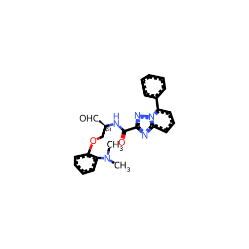 CN(C)c1ccccc1OC[C@@H](C=O)NC(=O)c1nc2cccc(-c3ccccc3)n2n1